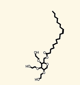 CCCCCCC/C=C\CCCCCCCCC(=O)OCC1OCC(OCCO)C(OCCO)C1OCCO